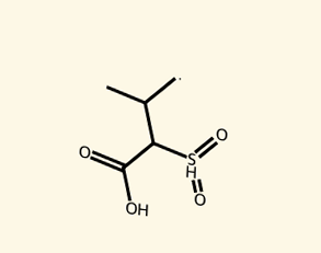 [CH2]C(C)C(C(=O)O)[SH](=O)=O